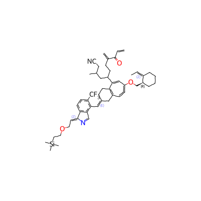 C=CC(=O)C(=C)CCC(CC(C)CC#N)C1=CC(OC[C@@H]2CCCC/C2=C/C)=C=CC2=C1CC/C(=C\c1c(C(F)(F)F)ccc3c1C=N/C3=C\COCC[Si](C)(C)C)C2